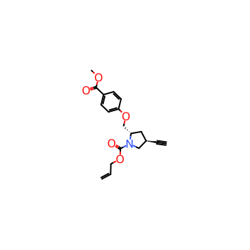 C#C[C@@H]1C[C@@H](COc2ccc(C(=O)OC)cc2)N(C(=O)OCC=C)C1